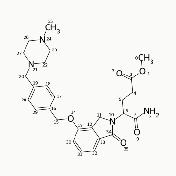 COC(=O)CCC(C(N)=O)N1Cc2c(OCc3ccc(CN4CCN(C)CC4)cc3)cccc2C1=O